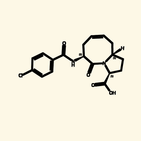 O=C(N[C@H]1CC=CC[C@@H]2CC[C@@H](C(=O)O)N2C1=O)c1ccc(Cl)cc1